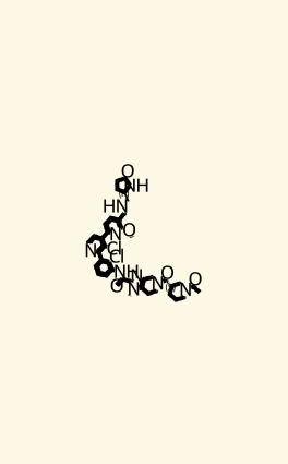 COc1nc(-c2ccnc(-c3cccc(NC(=O)c4nc5c(n4C)CCN(C(=O)[C@H]4CCCN(C(C)=O)C4)C5)c3Cl)c2Cl)ccc1CNC[C@H]1CCC(=O)N1